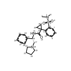 CN(C)S(=O)(=O)c1ccccc1C1(C(=O)N[C@H](CN2CCCC2)c2ccccc2)CC1